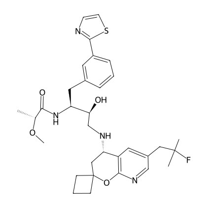 CO[C@H](C)C(=O)N[C@@H](Cc1cccc(-c2nccs2)c1)[C@@H](O)CN[C@H]1CC2(CCC2)Oc2ncc(CC(C)(C)F)cc21